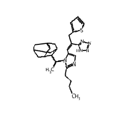 CCCCc1ncc(C=C(Cc2cccs2)c2nnn[nH]2)n1C(C)C1C2CC3CC(C2)CC1C3